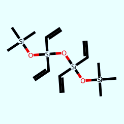 C=C[Si](C=C)(O[Si](C)(C)C)O[Si](C=C)(C=C)O[Si](C)(C)C